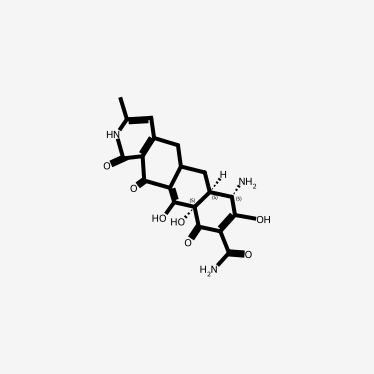 Cc1cc2c(c(=O)[nH]1)C(=O)C1=C(O)[C@]3(O)C(=O)C(C(N)=O)=C(O)[C@@H](N)[C@@H]3CC1C2